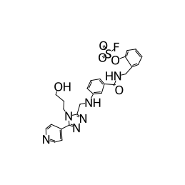 O=C(NCc1ccccc1OS(=O)(=O)F)c1cccc(NCc2nnc(-c3ccncc3)n2CCCO)c1